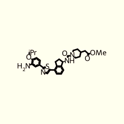 COC(=O)CC1CCN(C(=O)N[C@@H]2CCc3c(-c4cnc(-c5ccc(OC(C)C)c(N)c5)s4)cccc32)CC1